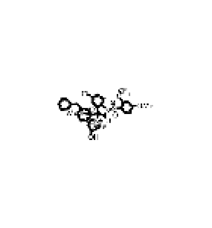 CNC(=O)[C@@H]1C[C@@H](O)C[N+]1(C)C1(c2cc(Cc3ccccc3)ccc2OC)C(=O)N(S(=O)(=O)c2ccc(OC)cc2OC(F)(F)F)c2ccc(Cl)cc21